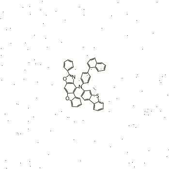 c1ccc(-c2nc3c(N(c4ccc(-c5cccc6ccccc56)cc4)c4ccc5c(c4)sc4ccccc45)c4c(cc3o2)oc2ccccc24)cc1